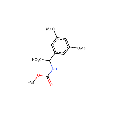 COc1cc(OC)cc(C(NC(=O)OC(C)(C)C)C(=O)O)c1